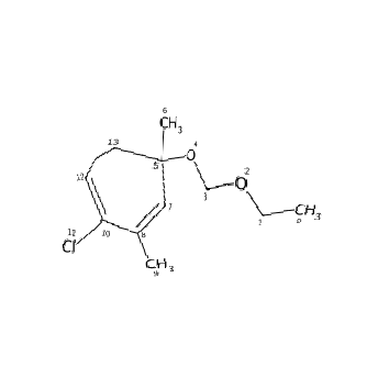 CCOCOC1(C)C=C(C)C(Cl)=CC1